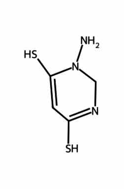 NN1CN=C(S)C=C1S